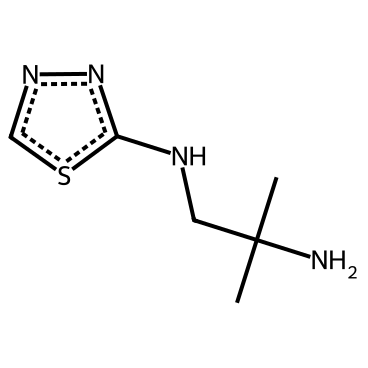 CC(C)(N)CNc1nncs1